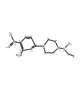 CC[S+]([O-])N1CCN(c2ccc([N+](=O)[O-])c(N)n2)CC1